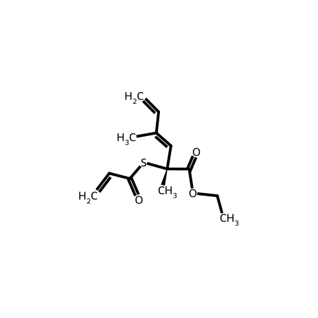 C=CC(=O)S[C@](C)(/C=C(\C)C=C)C(=O)OCC